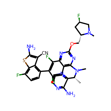 C[C@H](c1nccnc1N)N(C)c1nc(OC[C@@H]2C[C@@H](F)CN2C)nc2c(F)c(-c3ccc(F)c4sc(N)c(C#N)c34)c(Cl)cc12